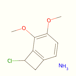 COc1ccc2c(c1OC)C(Cl)C2.N